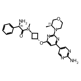 C[C@H]1COCCN1c1nc(O[C@H]2C[C@H](N(C)C(=O)[C@H](N)c3ccccc3)C2)cc(-c2cnc(N)nc2)n1